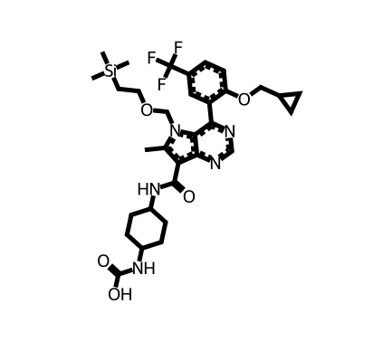 Cc1c(C(=O)NC2CCC(NC(=O)O)CC2)c2ncnc(-c3cc(C(F)(F)F)ccc3OCC3CC3)c2n1COCC[Si](C)(C)C